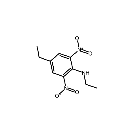 CCNc1c([N+](=O)[O-])cc(CC)cc1[N+](=O)[O-]